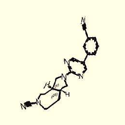 N#Cc1cccc(-c2cnc(N3C[C@H]4CN(C#N)CC[C@H]4C3)nc2)c1